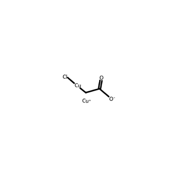 O=C([O-])[CH2][Cu][Cl].[Cu+]